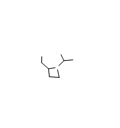 CC(C)N1CCC1CF